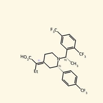 CC/C(C(=O)O)=C1/CCN([C@@H](C)c2cc(C(F)(F)F)ccc2C(F)(F)F)[C@H](c2ccc(C(F)(F)F)cc2)C1